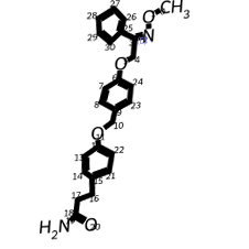 CO/N=C(/COc1ccc(COc2ccc(CCC(N)=O)cc2)cc1)c1ccccc1